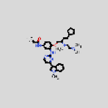 C=CC(=O)Nc1ccc(OCC(CCC2CCCC2)N(C)CCN(C)C)c(Nc2nccc(-c3cn(C)c4ccccc34)n2)c1